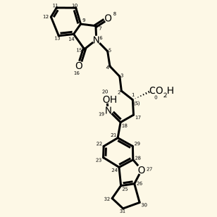 O=C(O)[C@@H](CCCCN1C(=O)c2ccccc2C1=O)CC(=NO)c1ccc2c3c(oc2c1)CCC3